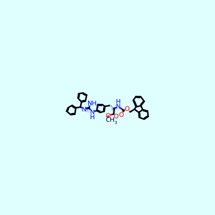 COC(=O)[C@H](Cc1ccc(N/C(N)=N/C(c2ccccc2)c2ccccc2)cc1)NC(=O)OCC1c2ccccc2-c2ccccc21